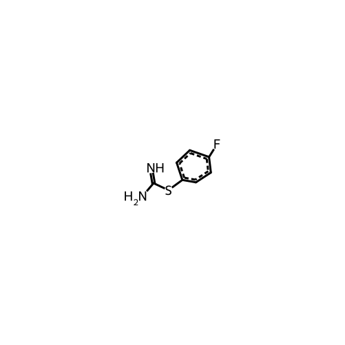 N=C(N)Sc1ccc(F)cc1